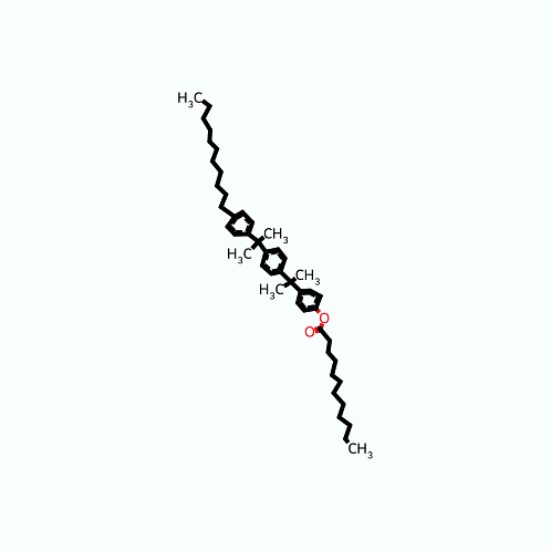 CCCCCCCCCCCC(=O)Oc1ccc(C(C)(C)c2ccc(C(C)(C)c3ccc(CCCCCCCCCCC)cc3)cc2)cc1